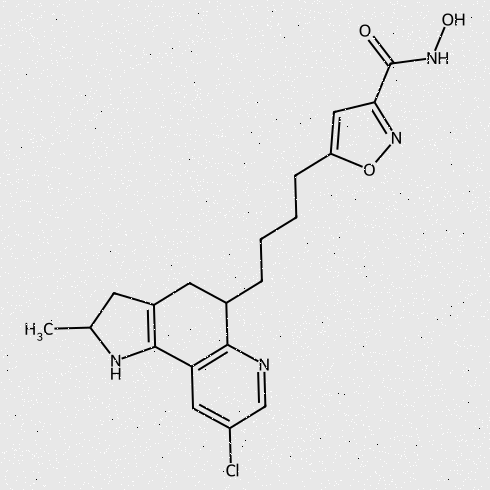 CC1CC2=C(N1)c1cc(Cl)cnc1C(CCCCc1cc(C(=O)NO)no1)C2